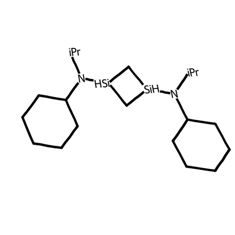 CC(C)N(C1CCCCC1)[SiH]1C[SiH](N(C(C)C)C2CCCCC2)C1